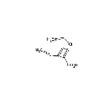 C=CC1=CN=C1C(=O)O.C=CCl